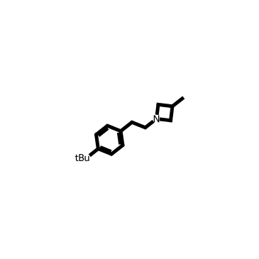 CC1CN(CCc2ccc(C(C)(C)C)cc2)C1